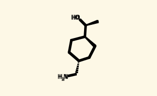 C[C@H](O)[C@H]1CC[C@H](CN)CC1